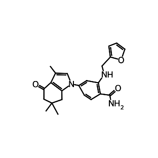 Cc1cn(-c2ccc(C(N)=O)c(NCc3ccco3)c2)c2c1C(=O)CC(C)(C)C2